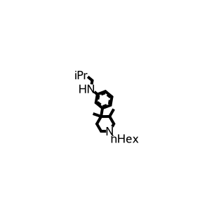 CCCCCCN1CCC(C)(c2cccc(NCC(C)C)c2)C(C)C1